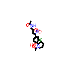 CC(=O)NCC1CC(C2=CC[C@](O)(C3CCCCN3C(C)=O)C(F)=C2)[N+](=O)O1